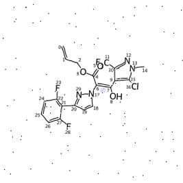 C=CCOC(=O)/C(=C(/O)c1c(C(F)(F)F)nn(C)c1Cl)n1ccc(-c2c(F)cccc2F)n1